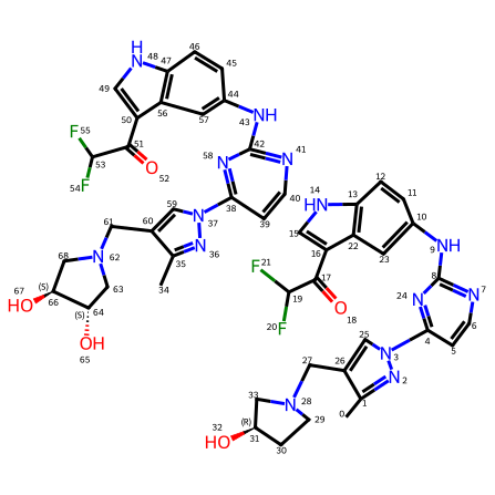 Cc1nn(-c2ccnc(Nc3ccc4[nH]cc(C(=O)C(F)F)c4c3)n2)cc1CN1CC[C@@H](O)C1.Cc1nn(-c2ccnc(Nc3ccc4[nH]cc(C(=O)C(F)F)c4c3)n2)cc1CN1C[C@H](O)[C@@H](O)C1